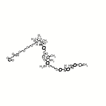 C=C1C[C@@H](C2OCCN2C(=O)OCc2ccc(NC(=O)C(C)NC(=O)C(NC(=O)CCOCCOCCOCCOCCNC(=O)CCN3C(=O)C=CC3=O)C(C)C)cc2)N(C(=O)c2cc(OC)c(OCCCCCOc3ccc(-c4nc5ccc(-c6nc7cc(N8CCN(C)CC8)ccc7[nH]6)cc5[nH]4)cc3)cc2N)C1